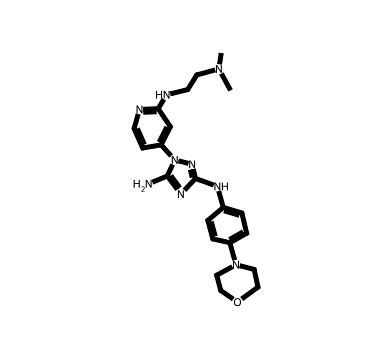 CN(C)CCNc1cc(-n2nc(Nc3ccc(N4CCOCC4)cc3)nc2N)ccn1